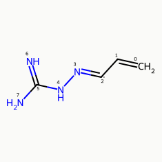 C=C/[C]=N/NC(=N)N